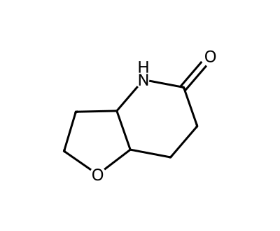 O=C1CCC2OCCC2N1